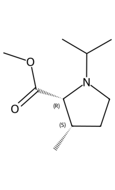 COC(=O)[C@H]1[C@@H](C)CCN1C(C)C